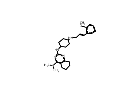 COc1ccccc1C=CCNC1CCC(Nc2nc3c(c(N(C)C)n2)CCCC3)CC1